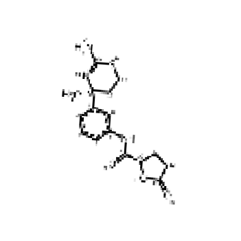 C[C@@]1(c2cccc(NC(=O)[C@H]3CCC(=O)O3)c2)CCSC(N)=N1